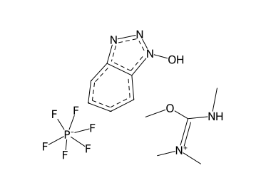 CNC(OC)=[N+](C)C.F[P-](F)(F)(F)(F)F.On1nnc2ccccc21